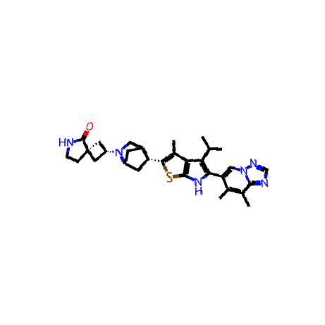 Cc1c(-c2[nH]c3sc([C@@H]4CC5CC4CN5[C@H]4C[C@@]5(CCNC5=O)C4)c(C)c3c2C(C)C)cn2ncnc2c1C